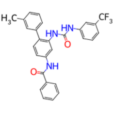 Cc1cccc(-c2ccc(NC(=O)c3ccccc3)cc2NC(=O)Nc2cccc(C(F)(F)F)c2)c1